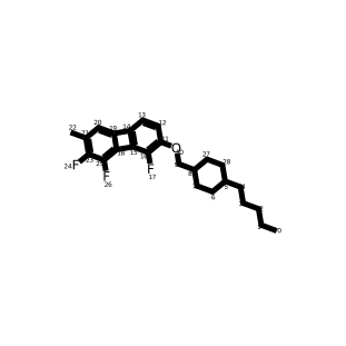 CCCCCC1CCC(COc2ccc3c(c2F)-c2c-3cc(C)c(F)c2F)CC1